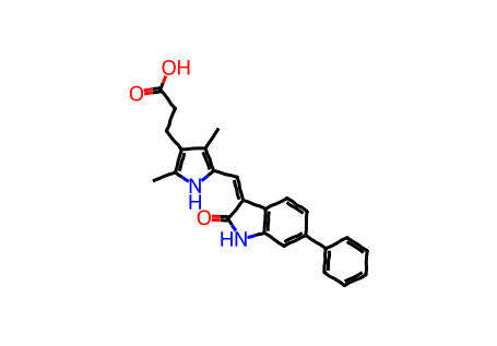 Cc1[nH]c(C=C2C(=O)Nc3cc(-c4ccccc4)ccc32)c(C)c1CCC(=O)O